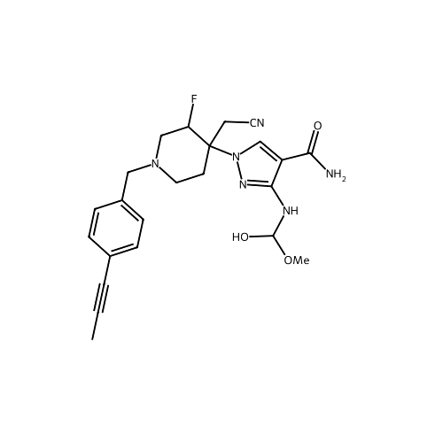 CC#Cc1ccc(CN2CCC(CC#N)(n3cc(C(N)=O)c(NC(O)OC)n3)C(F)C2)cc1